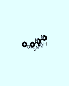 Nc1n[nH]c2c(-c3ccccn3)cnc(-c3ccc(Oc4ccccc4)cc3)c12